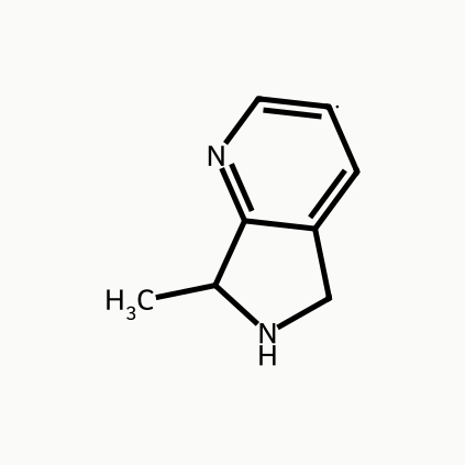 CC1NCc2c[c]cnc21